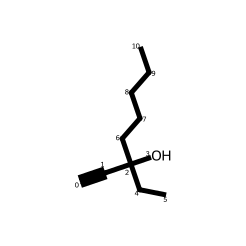 C#CC(O)(CC)CCCCC